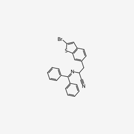 N#CC(Cc1ccc2cc(Br)sc2c1)N=C(c1ccccc1)c1ccccc1